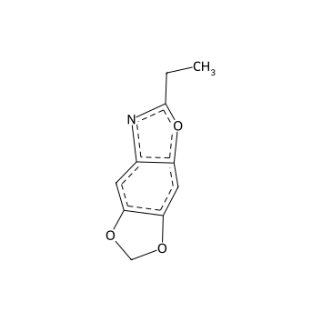 CCc1nc2cc3c(cc2o1)OCO3